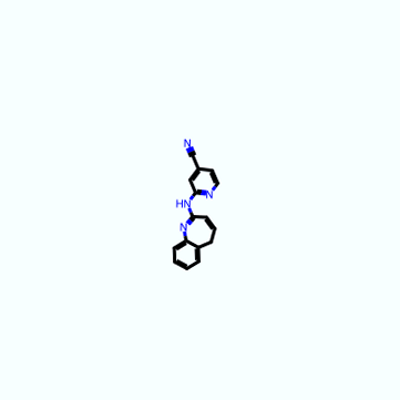 N#Cc1ccnc(NC2=Nc3ccccc3CC=C2)c1